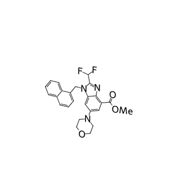 COC(=O)c1cc(N2CCOCC2)cc2c1nc(C(F)F)n2Cc1cccc2ccccc12